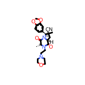 C[C@@H]1C(=O)N2[C@@H](c3ccc4c(c3)OCO4)[C@@](C)(C#N)C[C@H]2C(=O)N1CCN1CCOCC1